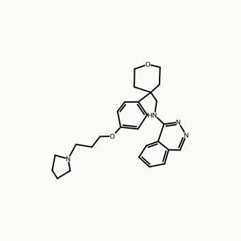 c1ccc2c(NCC3(c4ccc(OCCCN5CCCC5)cc4)CCOCC3)nncc2c1